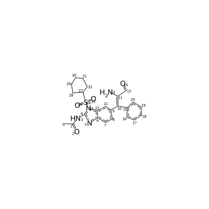 CC(=O)Nc1nc2ccc(C(=C(N)C=O)c3ccccc3)cc2n1S(=O)(=O)C1CCCCC1